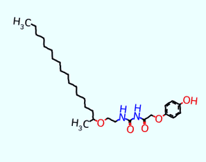 CCCCCCCCCCCCCCCCC(C)OCCNC(=O)NC(=O)COc1ccc(O)cc1